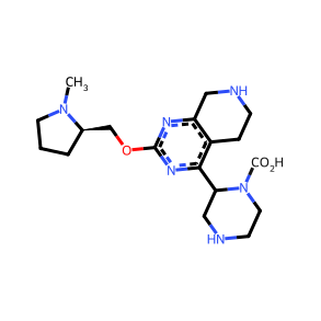 CN1CCC[C@@H]1COc1nc2c(c(C3CNCCN3C(=O)O)n1)CCNC2